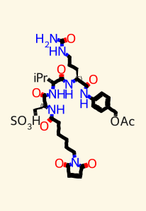 CC(=O)OCc1ccc(NC(=O)[C@H](CCCNC(N)=O)NC(=O)C(NC(=O)[C@H](CS(=O)(=O)O)NC(=O)CCCCCN2C(=O)C=CC2=O)C(C)C)cc1